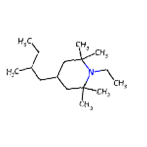 CCC(C)CC1CC(C)(C)N(CC)C(C)(C)C1